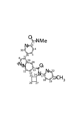 CNC(=O)c1ccc(-c2cnn3ccc(C(=O)N(c4ccc(C)cn4)C4CCC4)cc23)cn1